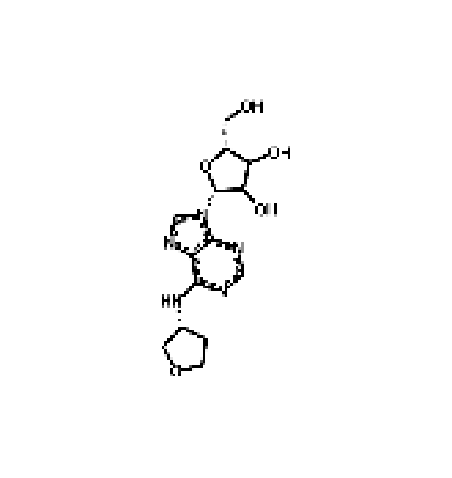 OC[C@H]1O[C@@H](n2cnc3c(N[C@@H]4CCOC4)ncnc32)C(O)C1O